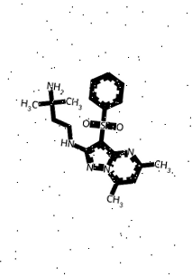 Cc1cc(C)n2nc(NCCC(C)(C)N)c(S(=O)(=O)c3ccccc3)c2n1